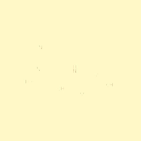 COC(=O)NC(C)c1cncn1C